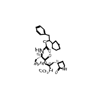 CC(C)C[C@H](NC(=O)OC(Cc1ccccc1)C1CCCCC1)C(=O)N[C@@H](C[C@@H]1CCNC1=O)C(=O)O